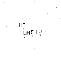 F.F.[LiH].[U]